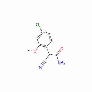 COc1cc(Cl)ccc1C(C#N)C(N)=O